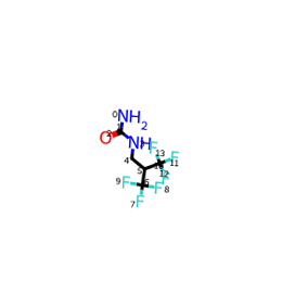 NC(=O)NCC(C(F)(F)F)C(F)(F)F